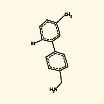 CCc1ccc(C)cc1-c1ccc(CN)cc1